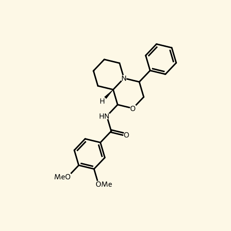 COc1ccc(C(=O)NC2OCC(c3ccccc3)N3CCCC[C@@H]23)cc1OC